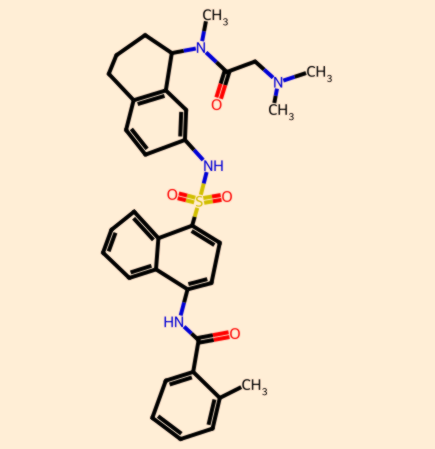 Cc1ccccc1C(=O)Nc1ccc(S(=O)(=O)Nc2ccc3c(c2)C(N(C)C(=O)CN(C)C)CCC3)c2ccccc12